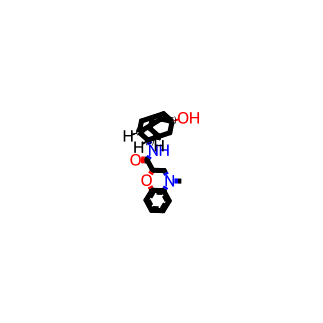 CN1CC(C(=O)N[C@@H]2[C@@H]3CC4C[C@H]2C[C@@](O)(C4)C3)Oc2ccccc21